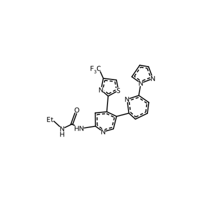 CCNC(=O)Nc1cc(-c2nc(C(F)(F)F)cs2)c(-c2cccc(-n3cccn3)n2)cn1